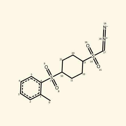 Cc1ccccc1S(=O)(=O)C1CCC(S(=O)(=O)C=[N+]=[N-])CC1